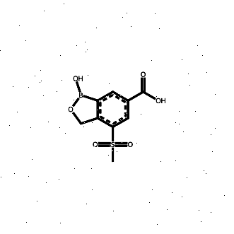 CS(=O)(=O)c1cc(C(=O)O)cc2c1COB2O